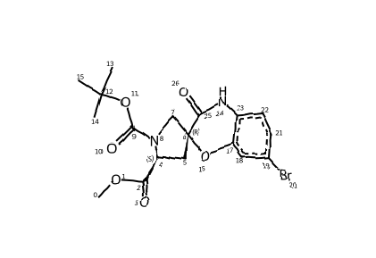 COC(=O)[C@@H]1C[C@]2(CN1C(=O)OC(C)(C)C)Oc1cc(Br)ccc1NC2=O